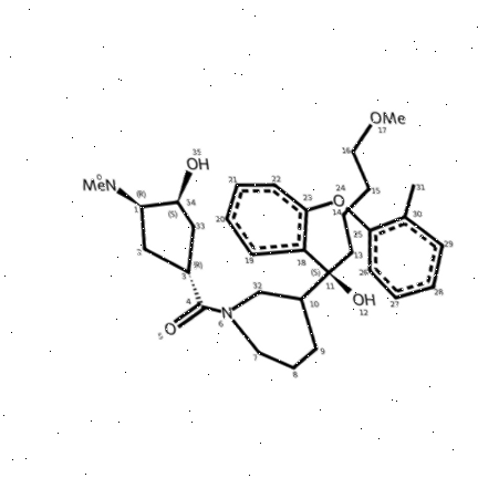 CN[C@@H]1C[C@@H](C(=O)N2CCCC([C@@](O)(CCCCOC)c3ccccc3Oc3ccccc3C)C2)C[C@@H]1O